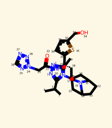 Cc1nnc(C(C)C)n1C1CC2CCC(C1)N2CC[C@H](NC(=O)Cn1ncnn1)c1ccc(CO)s1